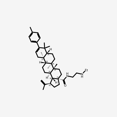 C=C(C)[C@@H]1CC[C@]2(C(=O)NCCNCC)CC[C@]3(C)[C@H](CC[C@@H]4[C@@]5(C)CC=C(c6ccc(C)cc6)C(C)(C)[C@@H]5CC[C@]43C)[C@@H]12